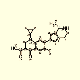 C[C@@H]1NCCn2cc(-c3nc4c(cc3F)C(=O)C(C(=O)O)CN4C3CC3)cc21